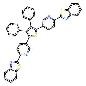 c1ccc(-c2c(-c3ccc(-c4nc5ccccc5s4)nc3)sc(-c3ccc(-c4nc5ccccc5s4)nc3)c2-c2ccccc2)cc1